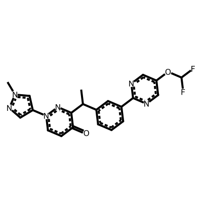 CC(c1cccc(-c2ncc(OC(F)F)cn2)c1)c1nn(-c2cnn(C)c2)ccc1=O